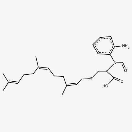 CC(C)=CCCC(C)=CCCC(C)=CCSCC(C(=O)O)N(C=O)c1ccccc1N